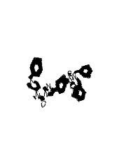 CN(C(=O)n1cnc(-c2ccc(S(=O)(=O)N(Cc3ccccc3)Cc3ccccc3)cc2)c1)C1CCN(Cc2ccccc2)CC1